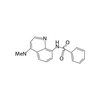 CNc1ccnc2c(NS(=O)(=O)c3ccccc3)cccc12